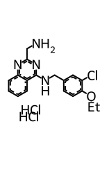 CCOc1ccc(CNc2nc(CN)nc3ccccc23)cc1Cl.Cl.Cl